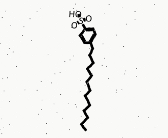 CCCCCCCCCCCCCc1ccc(S(=O)(=O)O)cc1